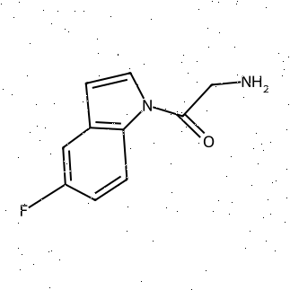 NCC(=O)n1ccc2cc(F)ccc21